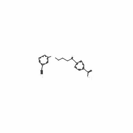 N#Cc1cccc(OCCCC(=O)c2ccc(C(=O)O)cc2)c1